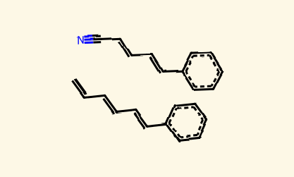 C=CC=CC=Cc1ccccc1.N#CC=CC=Cc1ccccc1